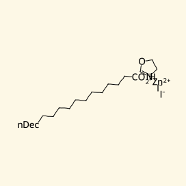 C1=NCCO1.CCCCCCCCCCCCCCCCCCCCCC(=O)O.[I-].[I-].[Zn+2]